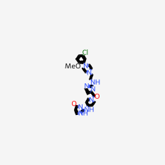 COc1ccc(Cl)cc1N1CCN(CCNc2nccc(C(=O)N3CCC(Nc4nc(=O)cc[nH]4)CC3)n2)CC1